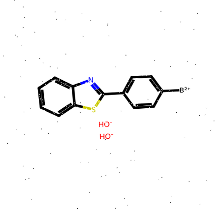 [B+2]c1ccc(-c2nc3ccccc3s2)cc1.[OH-].[OH-]